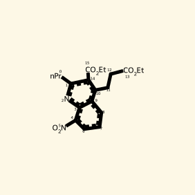 CCCc1nc2c([N+](=O)[O-])cccc2c(CCC(=O)OCC)c1C(=O)OCC